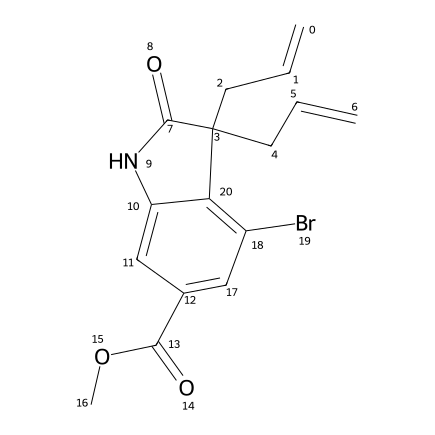 C=CCC1(CC=C)C(=O)Nc2cc(C(=O)OC)cc(Br)c21